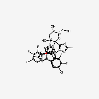 Cc1nc(C2(n3cc(-c4ccc(Cl)c(F)c4F)cn3)O[C@@H](CO)[C@@H](O)C[C@@]2(O)n2cc(-c3ccc(Cl)c(F)c3F)cn2)n(-c2cc(F)c3nc(C)sc3c2)n1